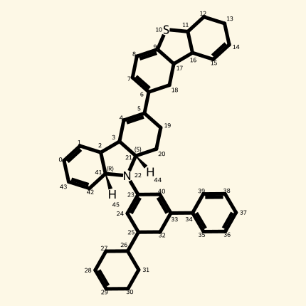 C1=CC2C3C=C(C4=CC=C5SC6CCC=CC6C5C4)CC[C@@H]3N(C3=CC(C4CC=CCC4)CC(c4ccccc4)=C3)[C@@H]2C=C1